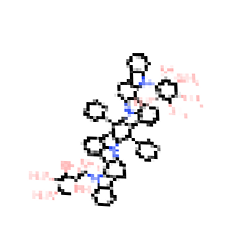 BC(=C)/C(B)=C(B)\C(B)=C(/B)n1c2ccccc2c2ccc3c(c4cccc5c6c(-c7ccccc7)c7c(c(-c8ccccc8)c6n3c54)c3cccc4c5c6c(ccc5n7c34)c3ccccc3n6-c3c(B)c(B)c(B)c(B)c3B)c21